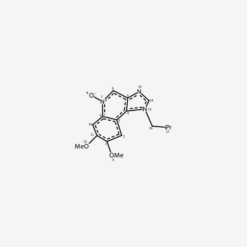 COc1cc2c3c(c[n+]([O-])c2cc1OC)ncn3CC(C)C